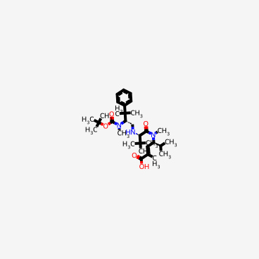 C/C(=C\[C@H](C(C)C)N(C)C(=O)[C@@H](NC[C@H](N(C)C(=O)OC(C)(C)C)C(C)(C)c1ccccc1)C(C)(C)C)C(=O)O